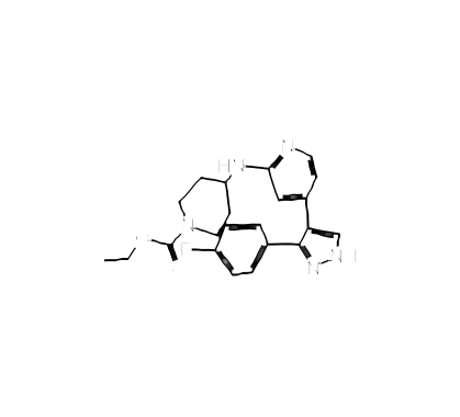 CCOC(=O)N1CCC(Nc2cc(-c3c[nH]nc3-c3ccc(F)cc3)ccn2)CC1